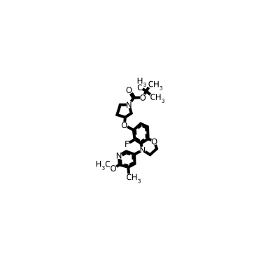 COc1ncc(N2CCOc3ccc(OC4CCN(C(=O)OC(C)(C)C)C4)c(F)c32)cc1C